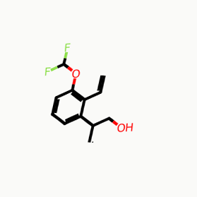 [CH2]C(CO)c1cccc(OC(F)F)c1C=C